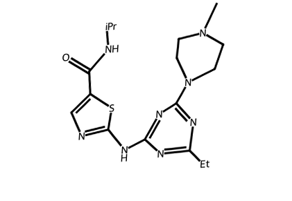 CCc1nc(Nc2ncc(C(=O)NC(C)C)s2)nc(N2CCN(C)CC2)n1